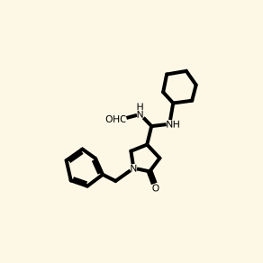 O=CNC(NC1CCCCC1)C1CC(=O)N(Cc2ccccc2)C1